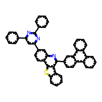 c1ccc(-c2cc(-c3ccc4c(c3)nc(-c3ccc5c6ccccc6c6ccccc6c5c3)c3c5ccccc5sc43)nc(-c3ccccc3)n2)cc1